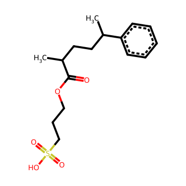 CC(CCC(C)c1ccccc1)C(=O)OCCCS(=O)(=O)O